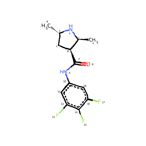 C[C@@H]1N[C@@H](C)C[C@@H]1C(=O)Nc1cc(F)c(F)c(F)c1